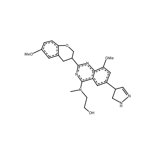 COc1ccc2c(c1)CC(c1nc(N(C)CCO)c3cc(C4C=NNC4)cc(OC)c3n1)CO2